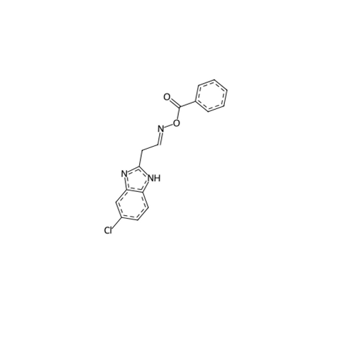 O=C(ON=CCc1nc2cc(Cl)ccc2[nH]1)c1ccccc1